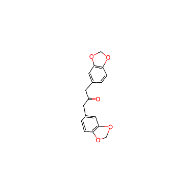 O=C(Cc1ccc2c(c1)OCO2)Cc1ccc2c(c1)OCO2